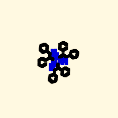 c1ccc(-c2nn3c(c2-c2ccccc2)n2nc(-c4ccccc4)c(-c4ccccc4)c2n2nc(-c4ccccc4)c(-c4ccccc4)c32)cc1